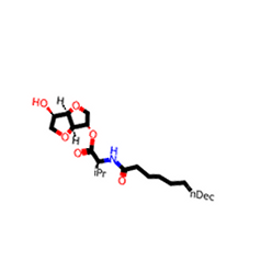 CCCCCCCCCCCCCCCC(=O)N[C@H](C(=O)O[C@H]1CO[C@H]2[C@@H]1OC[C@H]2O)C(C)C